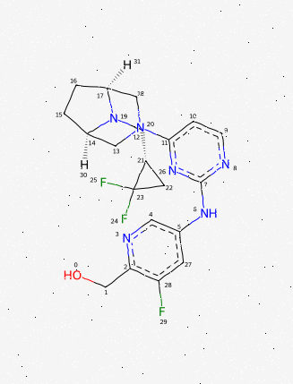 OCc1ncc(Nc2nccc(N3C[C@H]4CC[C@@H](C3)N4C[C@@H]3CC3(F)F)n2)cc1F